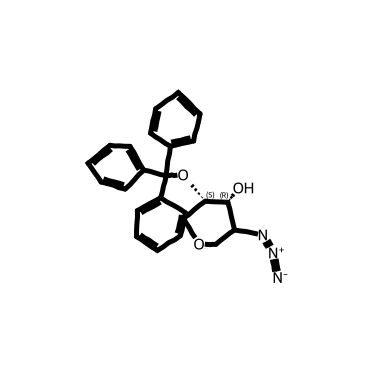 [N-]=[N+]=NC1COC[C@H](OC(c2ccccc2)(c2ccccc2)c2ccccc2)[C@@H]1O